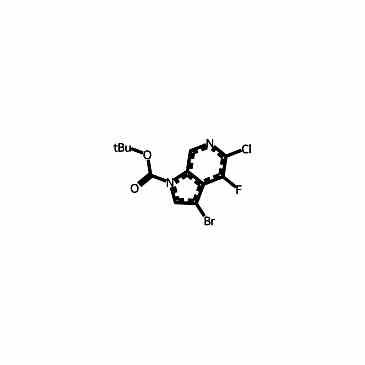 CC(C)(C)OC(=O)n1cc(Br)c2c(F)c(Cl)ncc21